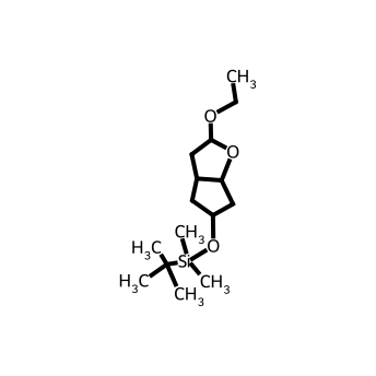 CCOC1CC2CC(O[Si](C)(C)C(C)(C)C)CC2O1